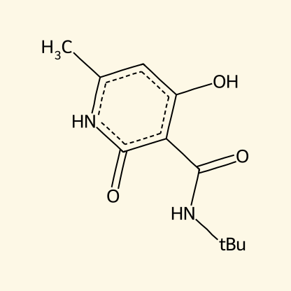 Cc1cc(O)c(C(=O)NC(C)(C)C)c(=O)[nH]1